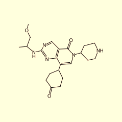 COCC(C)Nc1ncc2c(=O)n(C3CCNCC3)cc(C3CCC(=O)CC3)c2n1